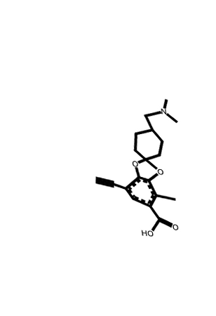 C#Cc1cc(C(=O)O)c(C)c2c1OC1(CCC(CN(C)C)CC1)O2